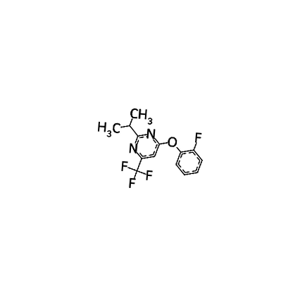 CC(C)c1nc(Oc2ccccc2F)cc(C(F)(F)F)n1